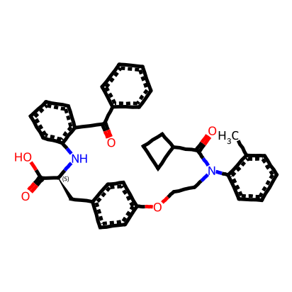 Cc1ccccc1N(CCOc1ccc(C[C@H](Nc2ccccc2C(=O)c2ccccc2)C(=O)O)cc1)C(=O)C1CCC1